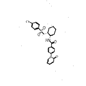 O=C(N[C@H]1CCCC[C@H]1CS(=O)(=O)c1ccc(Cl)cc1)c1ccc(-n2ccccc2=O)cc1